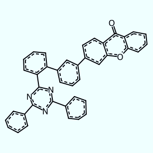 O=c1c2ccccc2oc2cc(-c3cccc(-c4ccccc4-c4nc(-c5ccccc5)nc(-c5ccccc5)n4)c3)ccc12